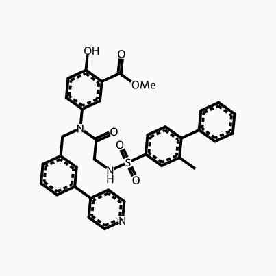 COC(=O)c1cc(N(Cc2cccc(-c3ccncc3)c2)C(=O)CNS(=O)(=O)c2ccc(-c3ccccc3)c(C)c2)ccc1O